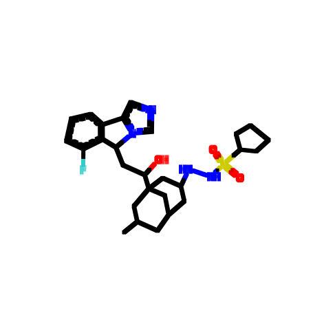 CC1CC2CC(NNS(=O)(=O)C3CCCC3)CC(C(O)CC3c4c(F)cccc4-c4cncn43)(C1)C2